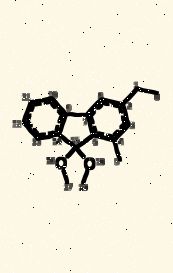 CCc1cc(C)c2c(c1)-c1ccccc1C2(OC)OC